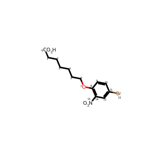 O=C(O)CCCCCCOc1ccc(Br)cc1[N+](=O)[O-]